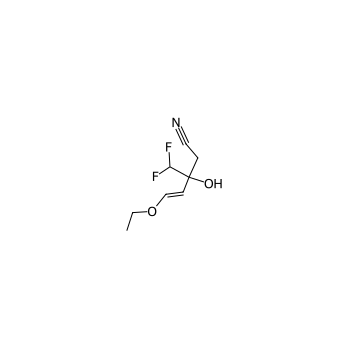 CCOC=CC(O)(CC#N)C(F)F